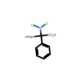 CCCCCCCC(C(=O)O)(c1ccccc1)N(Cl)Cl